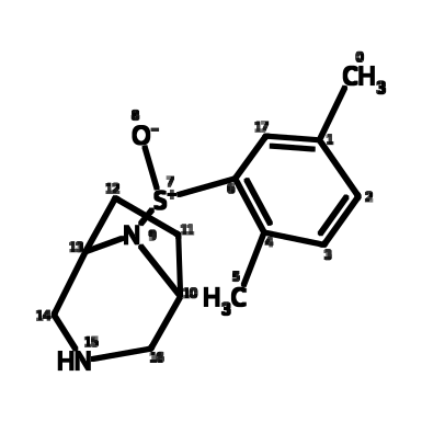 Cc1ccc(C)c([S+]([O-])N2C3CCC2CNC3)c1